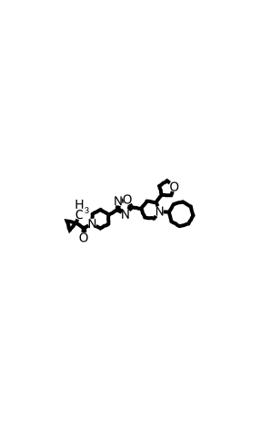 CC1(C(=O)N2CCC(c3noc(C4CCN(C5CCCCCCC5)C(C5CCOC5)C4)n3)CC2)CC1